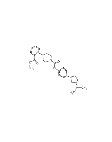 COC(=O)c1ccccc1C1CCN(C(=O)Nc2ccc(N3CCC(N(C)C)C3)cc2)CC1